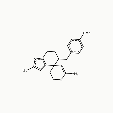 COc1ccc(CC2CCc3sc(C(C)(C)C)cc3C23CCSC(N)=N3)cc1